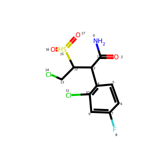 NC(=O)C(c1c[c]c(F)cc1Cl)C(CCl)[SH](=O)=O